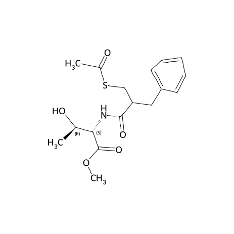 COC(=O)[C@@H](NC(=O)C(CSC(C)=O)Cc1ccccc1)[C@@H](C)O